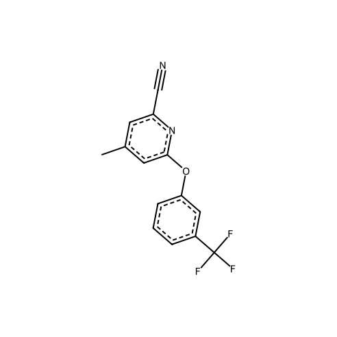 Cc1cc(C#N)nc(Oc2cccc(C(F)(F)F)c2)c1